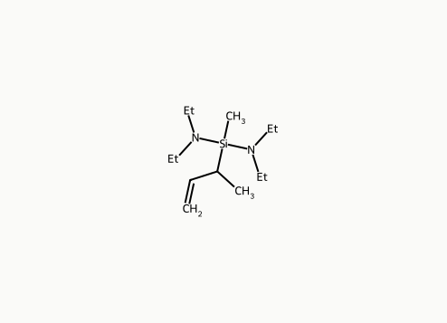 C=CC(C)[Si](C)(N(CC)CC)N(CC)CC